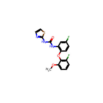 COc1cccc(F)c1Oc1ccc(F)cc1NC(=O)Nc1n[c]cs1